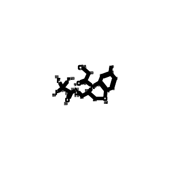 Cc1ccc2c(c1)N(C(=O)CCl)C(CNC(=O)C(F)(F)F)CO2